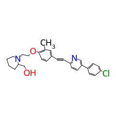 Cc1cc(C#Cc2ccc(-c3ccc(Cl)cc3)cn2)ccc1OCCN1CCCCC1CO